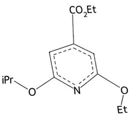 CCOC(=O)c1cc(OCC)nc(OC(C)C)c1